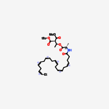 CC/C=C\C/C=C\C/C=C\C/C=C\C/C=C\C/C=C\CCC(=O)N[C@@H](C)C(=O)OC(C)C(C(=O)OC)C(=O)OC(C)(C)C